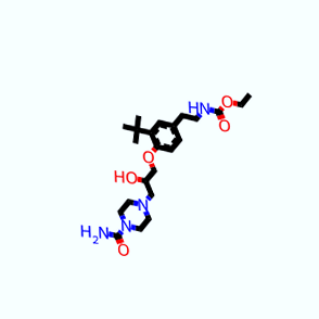 CCOC(=O)NCCc1ccc(OCC(O)CN2CCN(C(N)=O)CC2)c(C(C)(C)C)c1